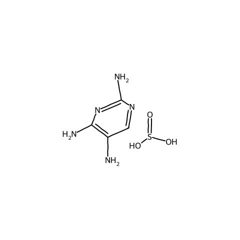 Nc1ncc(N)c(N)n1.O=S(O)O